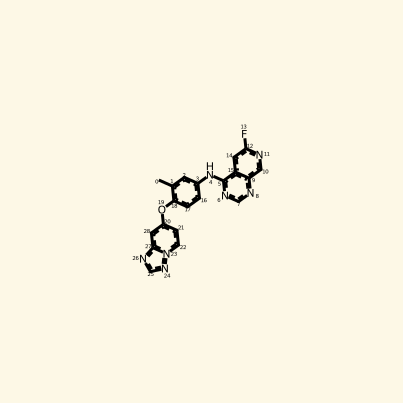 Cc1cc(Nc2ncnc3cnc(F)cc23)ccc1Oc1ccn2ncnc2c1